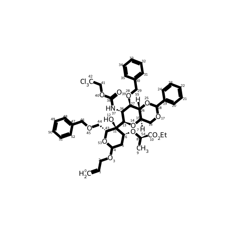 C=CCOC1C[C@@H](O[C@H](C)C(=O)OCC)[C@@](O)([C@@H]2O[C@@H]3COC(c4ccccc4)O[C@H]3[C@H](OCc3ccccc3)[C@H]2NC(=O)OCC(Cl)(Cl)Cl)[C@@H](COCc2ccccc2)O1